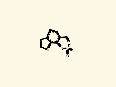 O=S1(=O)N=Cc2ccc3c(c2=N1)=NC=C3